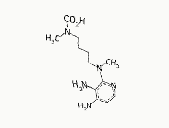 CN(CCCCN(C)c1nccc(N)c1N)C(=O)O